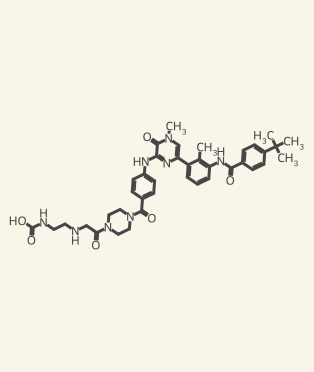 Cc1c(NC(=O)c2ccc(C(C)(C)C)cc2)cccc1-c1cn(C)c(=O)c(Nc2ccc(C(=O)N3CCN(C(=O)CNCCNC(=O)O)CC3)cc2)n1